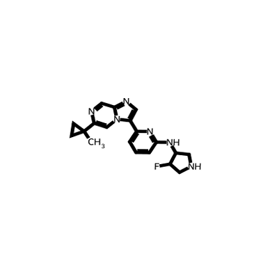 CC1(c2cn3c(-c4cccc(NC5CNCC5F)n4)cnc3cn2)CC1